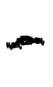 C[N+](C)(C)CCCOc1cccc(C2=c3ccc([nH]3)=CC3=NC(Cl)(C=C3)C(Cl)(c3cccc(OCCC[N+](C)(C)C)c3)c3ccc([nH]3)C=C3C=CC2=N3)c1